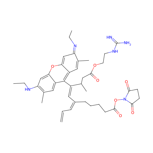 C=C/C=C(\C=C(\c1c2cc(C)/c(=N/CC)cc-2oc2cc(NCC)c(C)cc12)C(C)CC(=O)OCCNC(=N)N)CCCCC(=O)ON1C(=O)CCC1=O